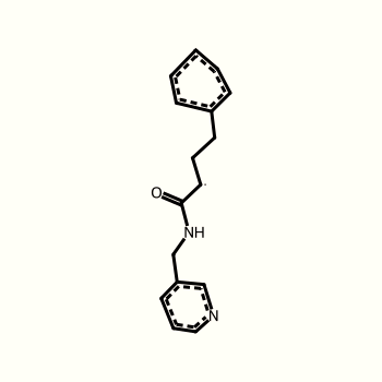 O=C([CH]CCc1ccccc1)NCc1cccnc1